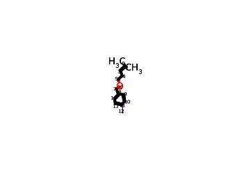 CC(C)=CCCOCc1ccc(I)cc1